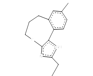 CCc1nc2c([nH]1)-c1ccc(C)cc1CCCC2